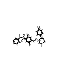 O=S(=O)(Nc1ccccn1)c1cc(F)c(OC[C@H]2CNCC[C@@H]2c2ccc(Cl)cc2)cc1F